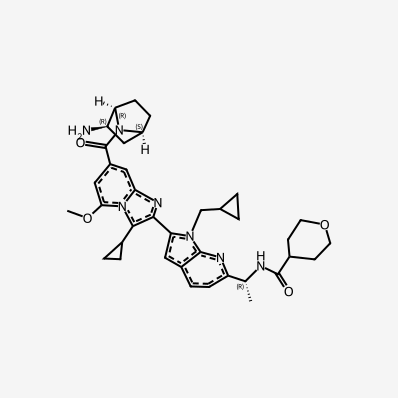 COc1cc(C(=O)N2[C@H]3CC[C@@H]2[C@H](N)C3)cc2nc(-c3cc4ccc([C@@H](C)NC(=O)C5CCOCC5)nc4n3CC3CC3)c(C3CC3)n12